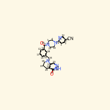 N#Cc1ccc(N2CCN(C(=O)c3cccc(CN4CCCc5c4cn[nH]c5=O)c3)CC2)nc1